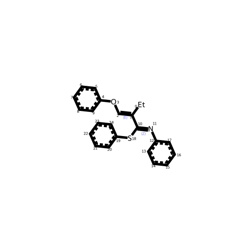 CCC(=C\Oc1ccccc1)/C(=N/c1ccccc1)Sc1ccccc1